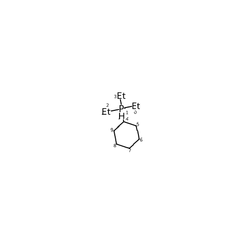 CC[PH](CC)(CC)C1CCCCC1